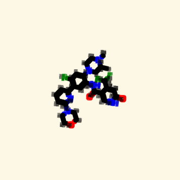 CC1CN(c2cc(F)c(-c3cccc(N4CCOCC4)n3)cc2NC(=O)c2c[nH]c(=O)cc2C(F)F)CCN1C